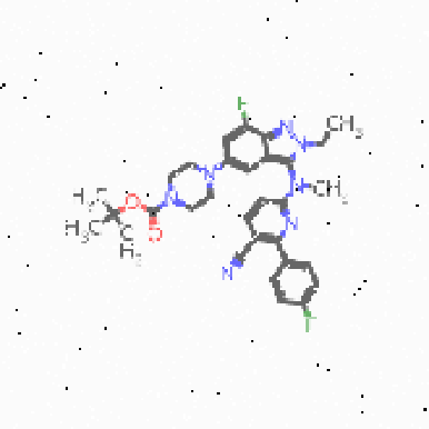 CCn1nc2c(F)cc(N3CCN(C(=O)OC(C)(C)C)CC3)cc2c1N(C)c1ccc(C#N)c(-c2ccc(F)cc2)n1